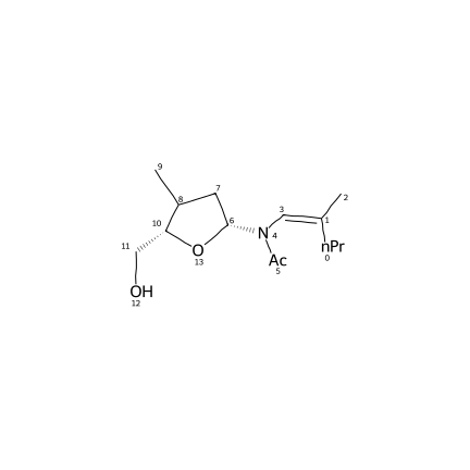 CCC/C(C)=C\N(C(C)=O)[C@H]1CC(C)[C@@H](CO)O1